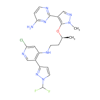 C[C@@H](CCNc1cc(Cl)ncc1-c1ccn(C(F)F)n1)Oc1c(-c2nccc(N)n2)cnn1C